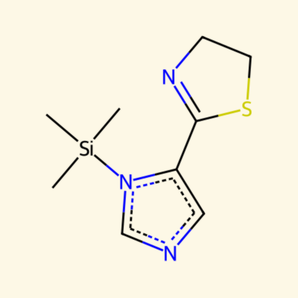 C[Si](C)(C)n1cncc1C1=NCCS1